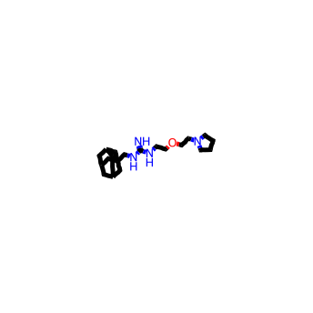 N=C(NCCOCCN1CCCC1)NCC12CC3CC(CC(C3)C1)C2